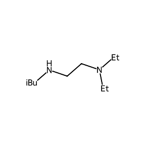 CCC(C)NCCN(CC)CC